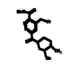 CCC(C)C1CN(C(=O)c2cc(CC(C)C)c(C(=O)OC)nn2)CCN1C